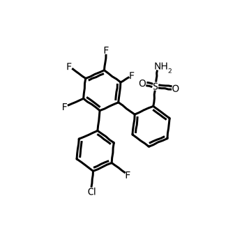 NS(=O)(=O)c1ccccc1-c1c(F)c(F)c(F)c(F)c1-c1ccc(Cl)c(F)c1